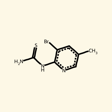 Cc1cnc(NC(N)=S)c(Br)c1